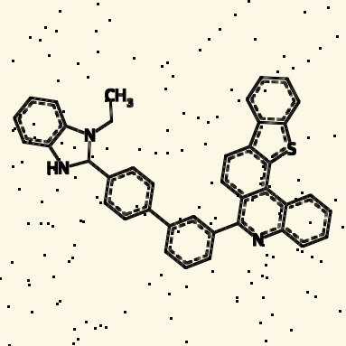 CCN1c2ccccc2NC1c1ccc(-c2cccc(-c3nc4ccccc4c4c3ccc3c5ccccc5sc34)c2)cc1